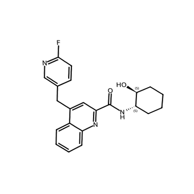 O=C(N[C@H]1CCCC[C@@H]1O)c1cc(Cc2ccc(F)nc2)c2ccccc2n1